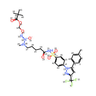 Cc1ccc(-c2cc(C(F)(F)F)nn2-c2ccc(S(=O)(=O)NC(=O)CCCCN(C)[N+]([O-])=NOCOC(=O)C(C)(C)C)cc2)cc1